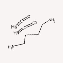 N=C=O.N=C=O.NCCCCN